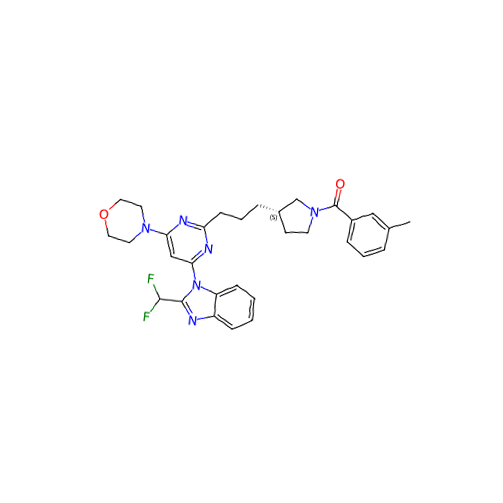 Cc1cccc(C(=O)N2CC[C@H](CCCc3nc(N4CCOCC4)cc(-n4c(C(F)F)nc5ccccc54)n3)C2)c1